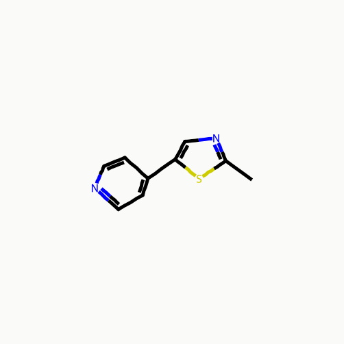 Cc1ncc(-c2ccncc2)s1